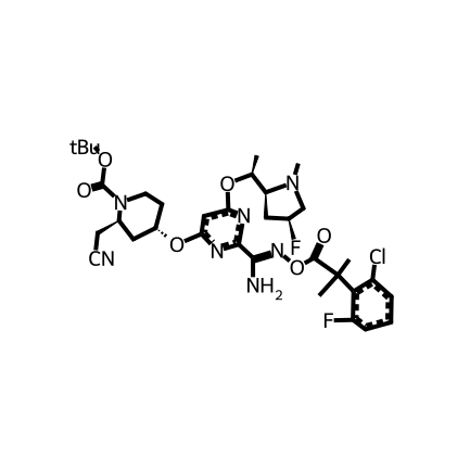 C[C@H](Oc1cc(O[C@H]2CCN(C(=O)OC(C)(C)C)[C@H](CC#N)C2)nc(C(N)=NOC(=O)C(C)(C)c2c(F)cccc2Cl)n1)[C@@H]1C[C@H](F)CN1C